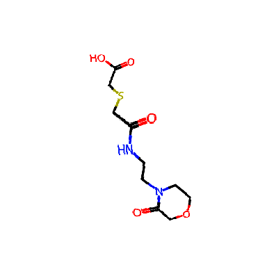 O=C(O)CSCC(=O)NCCN1CCOCC1=O